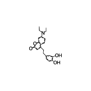 CCN(CC)c1ccc2c(CCc3ccc(O)c(O)c3)cc(=O)oc2c1